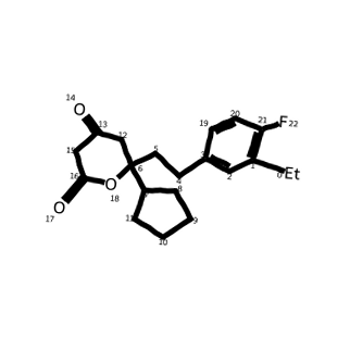 CCc1cc(CCC2(C3CCCC3)CC(=O)CC(=O)O2)ccc1F